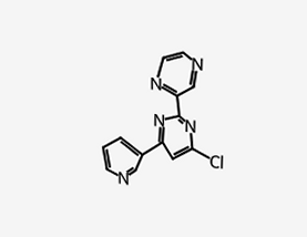 Clc1cc(-c2cccnc2)nc(-c2cnccn2)n1